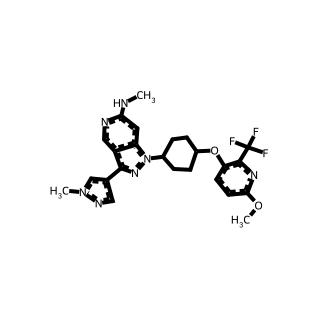 CNc1cc2c(cn1)c(-c1cnn(C)c1)nn2C1CCC(Oc2ccc(OC)nc2C(F)(F)F)CC1